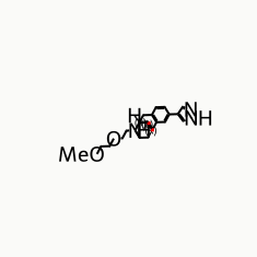 COCCOCCN1CC[C@]23CCCC[C@H]2[C@H]1Cc1ccc(-c2cn[nH]c2)cc13